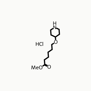 COC(=O)CCCCCOC1CCNCC1.Cl